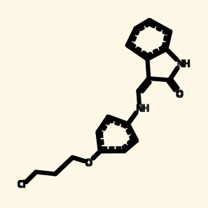 O=C1Nc2ccccc2C1=CNc1ccc(OCCCCl)cc1